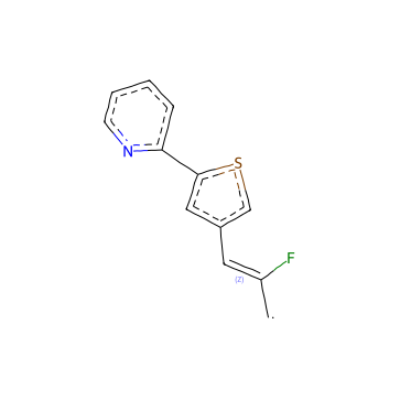 [CH2]/C(F)=C/c1csc(-c2ccccn2)c1